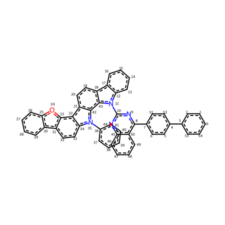 c1ccc(-c2ccc(-c3nc(-n4c5ccccc5c5ccc6c7c8oc9ccccc9c8ccc7n(-c7ccccc7)c6c54)nc4ccccc34)cc2)cc1